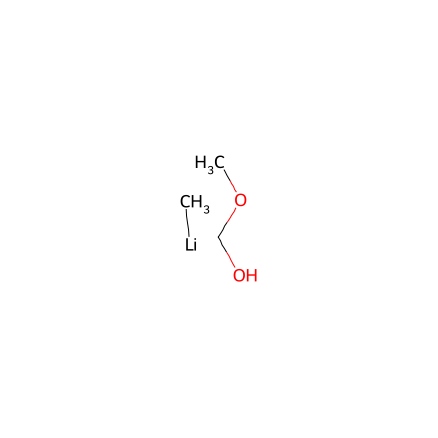 COCO.[Li][CH3]